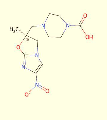 C[C@]1(CN2CCN(C(=O)O)CC2)Cn2cc([N+](=O)[O-])nc2O1